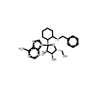 Nc1ncnc2c1ncn2[C@]1(C2CCCCC2OCc2ccccc2)O[C@H](CO)[C@@H](O)[C@H]1O